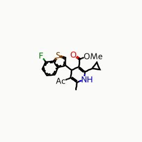 COC(=O)C1=C(C2CC2)NC(C)=C(C(C)=O)C1c1csc2c(F)cccc12